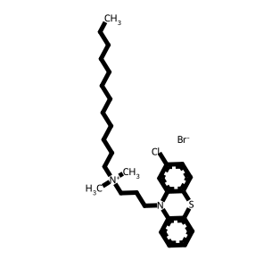 CCCCCCCCCCCC[N+](C)(C)CCCN1c2ccccc2Sc2ccc(Cl)cc21.[Br-]